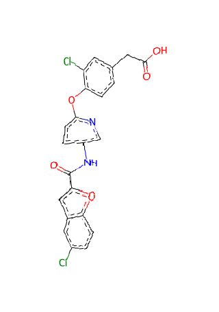 O=C(O)Cc1ccc(Oc2ccc(NC(=O)c3cc4cc(Cl)ccc4o3)cn2)c(Cl)c1